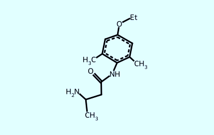 CCOc1cc(C)c(NC(=O)CC(C)N)c(C)c1